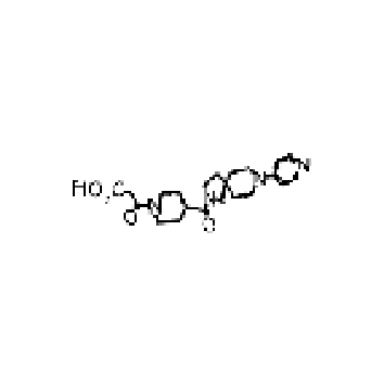 O=C(O)CC(=O)N1CCC(C(=O)N2CCC3(CCN(c4ccncc4)CC3)C2)CC1